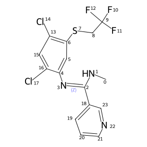 CN/C(=N\c1cc(SCC(F)(F)F)c(Cl)cc1Cl)c1cccnc1